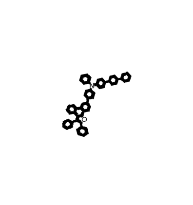 c1ccc(-c2ccc(-c3ccc(N(c4ccccc4)c4ccc(-c5ccc6c(c5)c5ccccc5c5c(-c7ccccc7)c(-c7ccccc7)oc65)cc4)cc3)cc2)cc1